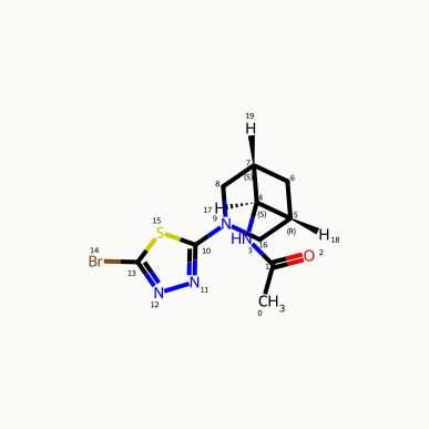 CC(=O)N[C@@H]1[C@@H]2C[C@H]1CN(c1nnc(Br)s1)C2